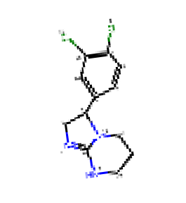 Clc1ccc(C2CN=C3NCCCN32)cc1Cl